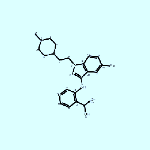 CN1CCC(CCn2nc(Nc3cnccc3C(O)O)c3cc(F)ccc32)CC1